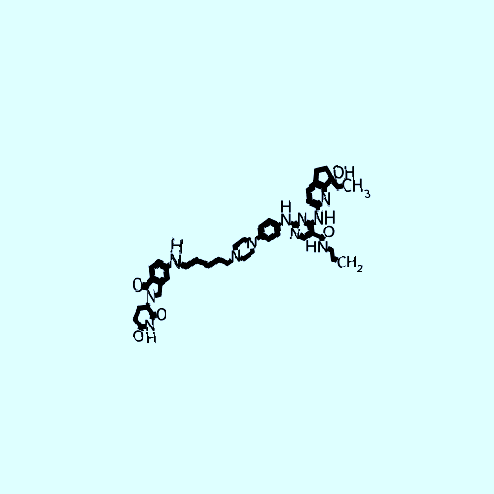 C=CCNC(=O)c1cnc(Nc2ccc(N3CCN(CCCCCNc4ccc5c(c4)CN(C4CCC(=O)NC4=O)C5=O)CC3)cc2)nc1Nc1ccc2c(n1)[C@@](O)(CC)CC2